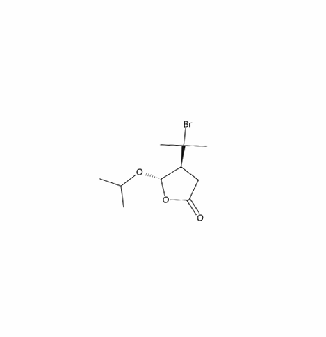 CC(C)O[C@H]1OC(=O)C[C@@H]1C(C)(C)Br